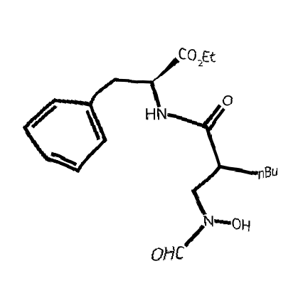 CCCCC(CN(O)C=O)C(=O)N[C@@H](Cc1ccccc1)C(=O)OCC